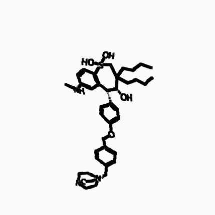 CCCCC1(CCCC)CS(O)(O)c2ccc(NC)cc2[C@@H](c2ccc(OCc3ccc(C[N+]45CCN(CC4)CC5)cc3)cc2)[C@H]1O